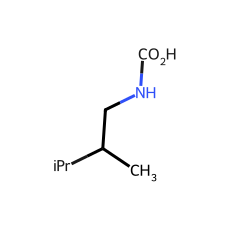 CC(C)C(C)CNC(=O)O